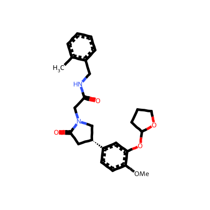 COc1ccc([C@@H]2CC(=O)N(CC(=O)NCc3ccccc3C)C2)cc1OC1CCCO1